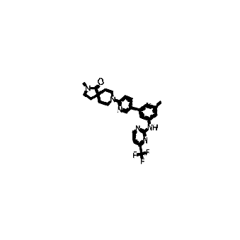 Cc1cc(Nc2nccc(C(F)(F)F)n2)cc(-c2ccc(N3CCC4(CCN(C)C4=O)CC3)nc2)c1